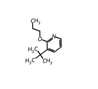 CCCOc1ncccc1C(C)(C)C